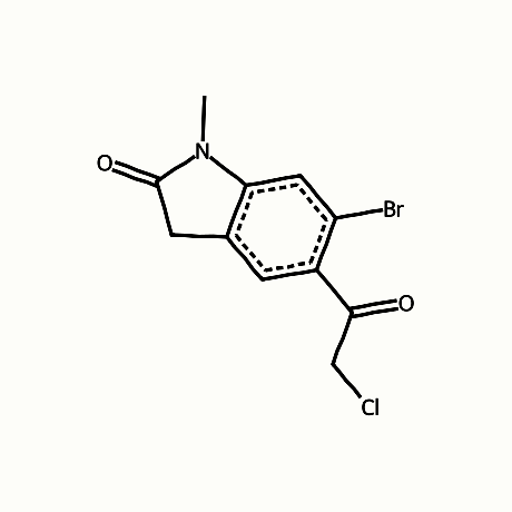 CN1C(=O)Cc2cc(C(=O)CCl)c(Br)cc21